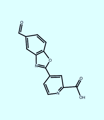 O=Cc1ccc2oc(-c3ccnc(C(=O)O)c3)nc2c1